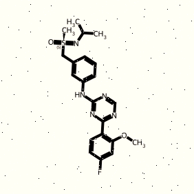 COc1cc(F)ccc1-c1ncnc(Nc2cccc(C[S@](C)(=O)=NC(C)C)c2)n1